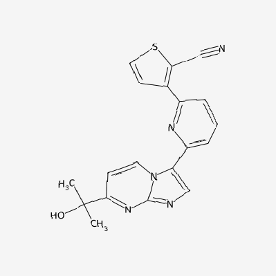 CC(C)(O)c1ccn2c(-c3cccc(-c4ccsc4C#N)n3)cnc2n1